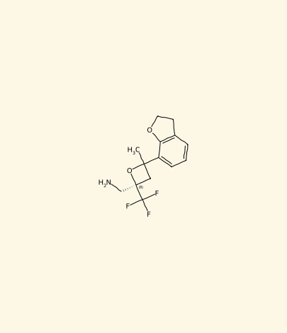 CC1(c2cccc3c2OCC3)C[C@@](CN)(C(F)(F)F)O1